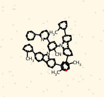 Cc1ccccc1-c1ccc2c3ccc(-c4ccccc4C)cc3n(-c3cc(-c4cccc(-c5ccccc5)n4)cc(-n4c5cc(-c6ccccc6C)ccc5c5ccc(-c6ccccc6C)cc54)c3C#N)c2c1